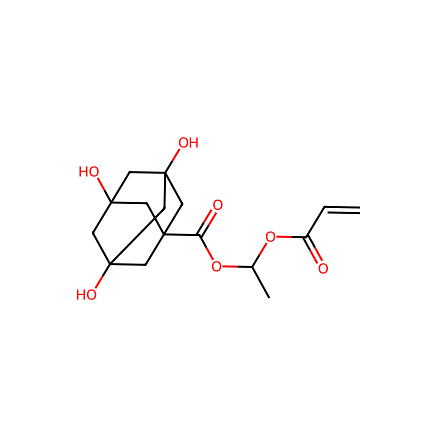 C=CC(=O)OC(C)OC(=O)C12CC3(O)CC(O)(CC(O)(C3)C1)C2